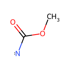 COC([N])=O